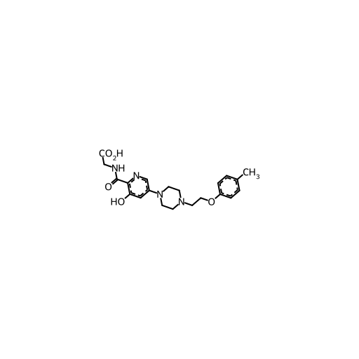 Cc1ccc(OCCN2CCN(c3cnc(C(=O)NCC(=O)O)c(O)c3)CC2)cc1